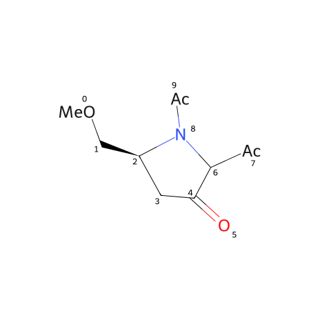 COC[C@@H]1CC(=O)C(C(C)=O)N1C(C)=O